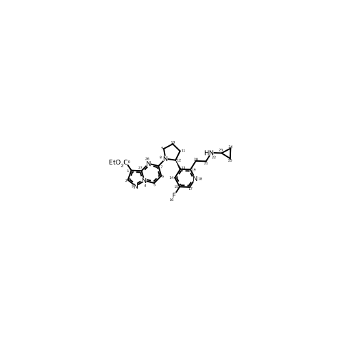 CCOC(=O)c1cnn2ccc(N3CCC[C@H]3c3cc(F)cnc3CCNC3CC3)nc12